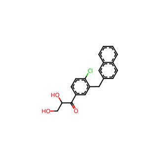 O=C(c1ccc(Cl)c(Cc2ccc3ccccc3c2)c1)C(O)CO